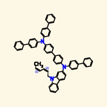 C/C=C\C=C/Cn1c2ccccc2c2ccc(N(c3ccc(-c4ccccc4)cc3)c3ccc(-c4ccc(N(c5ccc(-c6ccccc6)cc5)c5ccc(-c6ccccc6)cc5)cc4)cc3)cc21